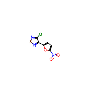 O=[N+]([O-])c1ccc(-c2nsnc2Cl)o1